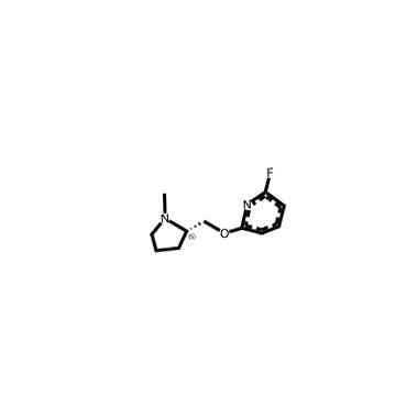 CN1CCC[C@H]1COc1cccc(F)n1